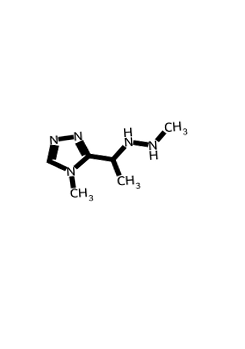 CNNC(C)c1nncn1C